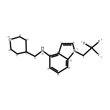 FC(F)(F)Cn1ccc2c(NCC3CCOCC3)cccc21